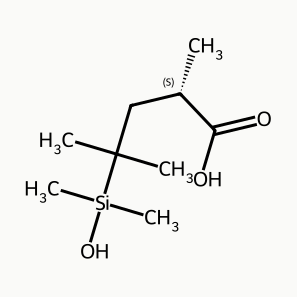 C[C@@H](CC(C)(C)[Si](C)(C)O)C(=O)O